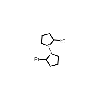 CCC1CCCP1P1CCCC1CC